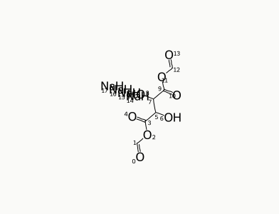 O=COC(=O)C(O)C(O)C(=O)OC=O.[NaH].[NaH].[NaH].[NaH]